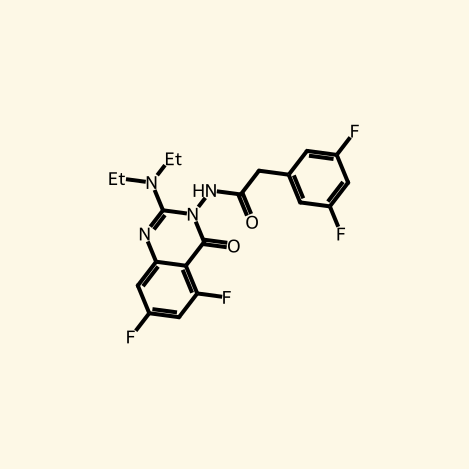 CCN(CC)c1nc2cc(F)cc(F)c2c(=O)n1NC(=O)Cc1cc(F)cc(F)c1